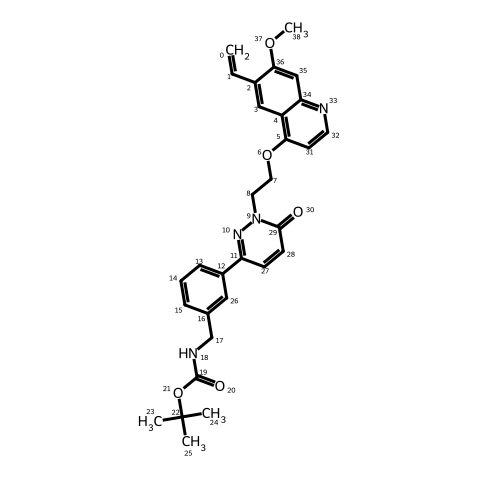 C=Cc1cc2c(OCCn3nc(-c4cccc(CNC(=O)OC(C)(C)C)c4)ccc3=O)ccnc2cc1OC